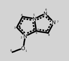 COn1ccn2nncc12